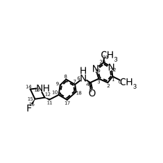 Cc1cc(C(=O)Nc2ccc(C[C@@H]3NC[C@@H]3F)cc2)nc(C)n1